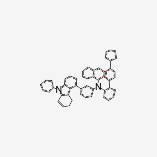 C1=Cc2c(c3c(-c4cccc(N(c5ccccc5-c5ccc(-c6ccccc6)cc5)c5cccc6ccccc56)c4)cccc3n2-c2ccccc2)CC1